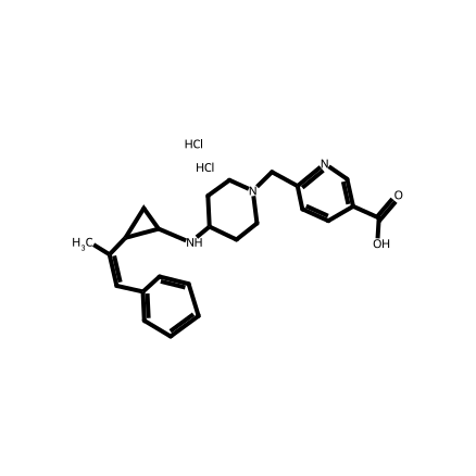 CC(=Cc1ccccc1)C1CC1NC1CCN(Cc2ccc(C(=O)O)cn2)CC1.Cl.Cl